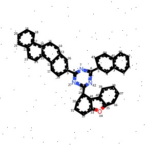 c1ccc2cc(-c3nc(-c4ccc5c(ccc6c7ccccc7ccc56)c4)nc(-c4cccc5oc6ccccc6c45)n3)ccc2c1